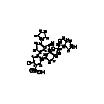 N#Cc1cc(-c2cc(=O)c(C(=O)O)cn2-c2ccc3nc(C4OCC5CNCC54)oc3c2)ccc1N1CCCC1